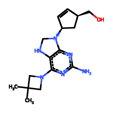 CC1(C)CN(c2nc(N)nc3c2NCN3[C@H]2C=C[C@@H](CO)C2)C1